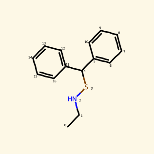 CCNSC(c1ccccc1)c1ccccc1